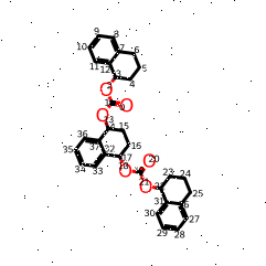 O=C(OC1CCCc2ccccc21)OC1CCC(OC(=O)OC2CCCc3ccccc32)c2ccccc21